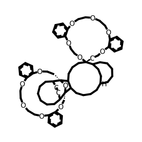 c1ccc2c(c1)OCCOCCOc1ccccc1OCC[C@@]1(CCCC3C(CCCC[C@@H]4CCCCCC1CC4)[C@]14COc5ccccc5OCCOCCOc5ccccc5OCC[C@]3(O1)C1CCCCCCC4CC1)OCCO2